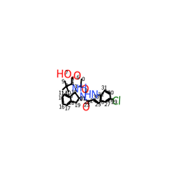 CC(=O)N(C(C(=O)O)C(C)(C)C)[C@@H]1c2ccccc2C[C@H]1NC(=O)c1cc2cc(Cl)ccc2[nH]1